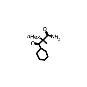 CCCCCCC(C)(C(N)=O)C(=O)C1CCCCC1